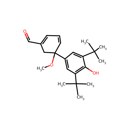 COC1(c2cc(C(C)(C)C)c(O)c(C(C)(C)C)c2)C=CC=C(C=O)C1